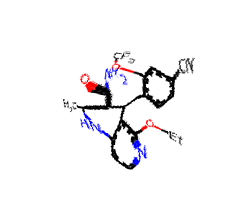 CCOc1nccc2c1C(c1ccc(C#N)cc1OC(F)(F)F)C(C(N)=O)=C(C)N2